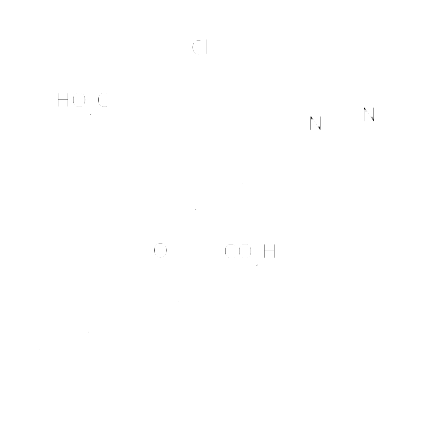 Cc1cccc(C2CC2)c1OC1(C(=O)O)C=C(C(=O)O)C(Cl)=CC1(C)c1cccnn1